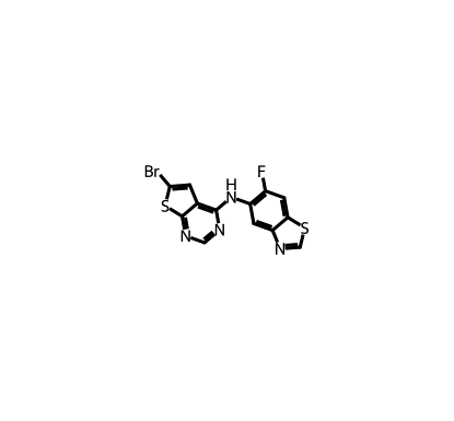 Fc1cc2scnc2cc1Nc1ncnc2sc(Br)cc12